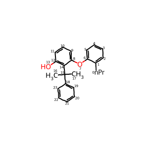 CCCc1ccccc1Oc1cccc(O)c1C(C)(C)c1ccccc1